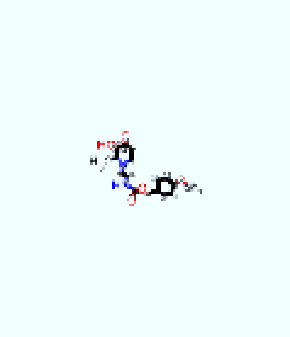 Cc1c(O)c(=O)ccn1CCNC(=O)OCc1ccc(OC(F)(F)F)cc1